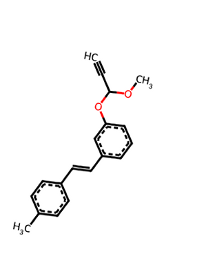 C#CC(OC)Oc1cccc(C=Cc2ccc(C)cc2)c1